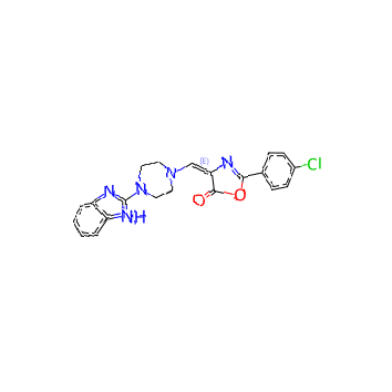 O=C1OC(c2ccc(Cl)cc2)=N/C1=C/N1CCN(c2nc3ccccc3[nH]2)CC1